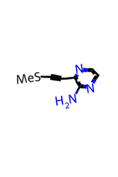 CSC#Cc1nccnc1N